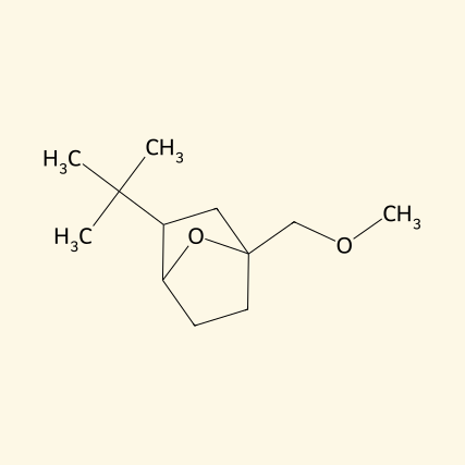 COCC12CCC(O1)C(C(C)(C)C)C2